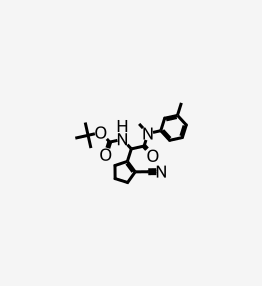 Cc1cccc(N(C)C(=O)C(NC(=O)OC(C)(C)C)C2=C(C#N)CCC2)c1